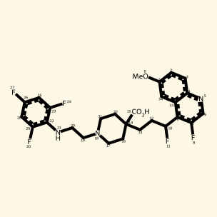 COc1ccc2ncc(F)c(C(F)CCC3(C(=O)O)CCN(CCNc4c(F)cc(F)cc4F)CC3)c2c1